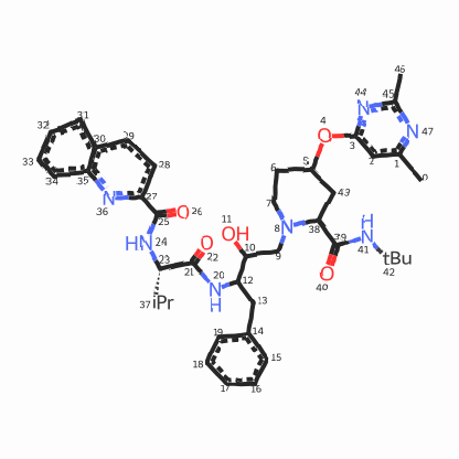 Cc1cc(OC2CCN(CC(O)C(Cc3ccccc3)NC(=O)[C@@H](NC(=O)c3ccc4ccccc4n3)C(C)C)C(C(=O)NC(C)(C)C)C2)nc(C)n1